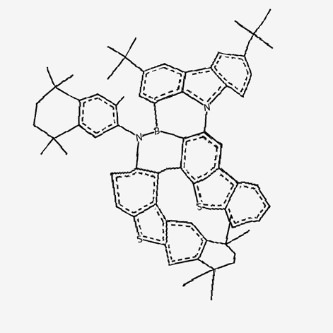 Cc1cc2c(cc1N1B3c4c(cc5c(sc6ccccc65)c4-c4c1ccc1sc5cc6c(cc5c41)C(C)(C)CCC6(C)C)-n1c4ccc(C(C)(C)C)cc4c4cc(C(C)(C)C)cc3c41)C(C)(C)CCC2(C)C